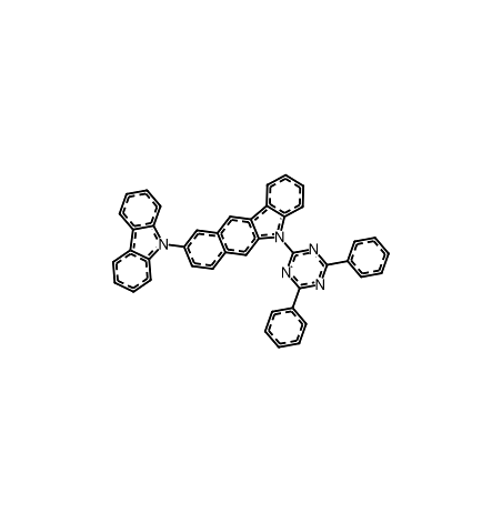 c1ccc(-c2nc(-c3ccccc3)nc(-n3c4ccccc4c4cc5cc(-n6c7ccccc7c7ccccc76)ccc5cc43)n2)cc1